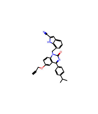 C#CCOc1ccc2c(c1)c(-c1ccc(C(C)C)cc1)nc(=O)n2Cc1cccc2cc(C#N)[nH]c12